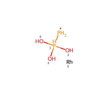 O[PH](O)(O)P.[Rh]